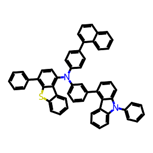 c1ccc(-c2ccc(N(c3ccc(-c4cccc5ccccc45)cc3)c3cccc(-c4cccc5c4c4ccccc4n5-c4ccccc4)c3)c3c2sc2ccccc23)cc1